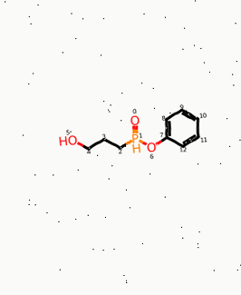 O=[PH](CCCO)Oc1ccccc1